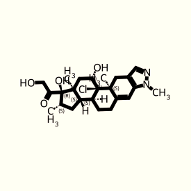 C[C@H]1C[C@H]2[C@@H]3CCC4=Cc5c(cnn5C)C[C@]4(C)[C@@]3(Cl)[C@@H](O)C[C@]2(C)[C@@]1(O)C(=O)CO